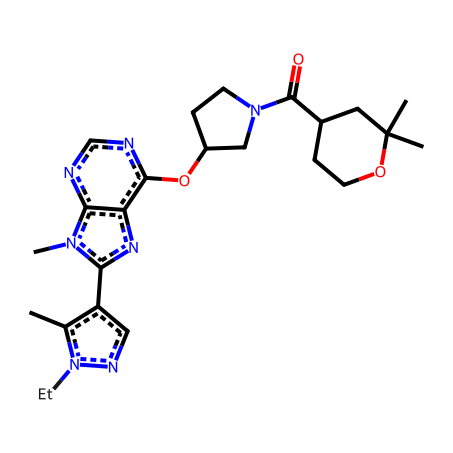 CCn1ncc(-c2nc3c(OC4CCN(C(=O)C5CCOC(C)(C)C5)C4)ncnc3n2C)c1C